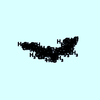 CC(C)C1=C2[C@H]3CCC4[C@@]5(C)CC[C@H](OC(=O)CC(C)(Cc6nc(-c7nnc([C@H](O)[C@@]89CC[C@]%10(C)C(CC[C@@H]%11[C@@]%12(C)CC[C@H](OC(=O)CC(C)(C)C(=O)O)C(C)(C)C%12CC[C@]%11%10C)C8=C(C(C)C)C(=O)C9)n7CCN(C)C)ncc6Cl)C(=O)O)C(C)(C)C5CC[C@@]4(C)[C@]3(C)CC[C@@]2(C(O)c2nnc(-c3ncc(Cl)cn3)n2CCN(C)C)CC1=O